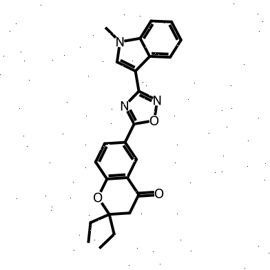 CCC1(CC)CC(=O)c2cc(-c3nc(-c4cn(C)c5ccccc45)no3)ccc2O1